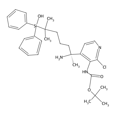 CC(C)(C)OC(=O)Nc1c([C@@](C)(N)CCCC(C)(C)[Si](O)(c2ccccc2)c2ccccc2)ccnc1Cl